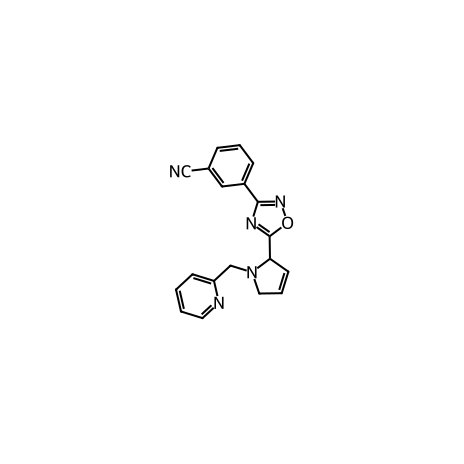 N#Cc1cccc(-c2noc(C3C=CCN3Cc3ccccn3)n2)c1